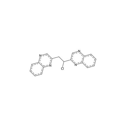 ClC(Cc1cnc2ccccc2n1)c1cnc2ccccc2n1